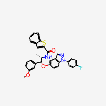 COc1cccc([C@@H](Oc2ccc3c(cnn3-c3ccc(F)cc3)c2)[C@H](C)NC(=O)c2cc3ccccc3s2)c1